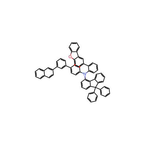 c1ccc(C2(c3ccccc3)c3ccccc3-c3c(N(c4ccc(-c5cccc(-c6ccc7ccccc7c6)c5)cc4)c4ccccc4-c4ccc5oc6ccccc6c5c4)cccc32)cc1